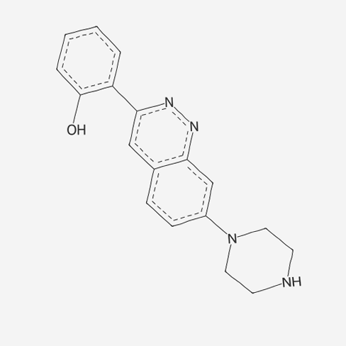 Oc1ccccc1-c1cc2ccc(N3CCNCC3)cc2nn1